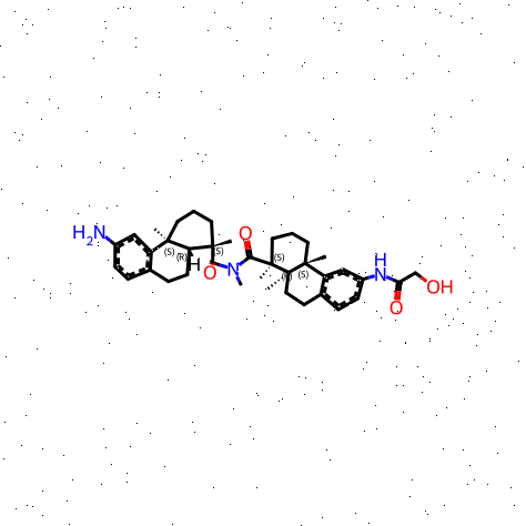 CN(C(=O)[C@@]1(C)CCC[C@]2(C)c3cc(N)ccc3CC[C@@H]12)C(=O)[C@@]1(C)CCC[C@]2(C)c3cc(NC(=O)CO)ccc3CC[C@@]12C